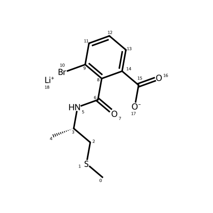 CSC[C@H](C)NC(=O)c1c(Br)cccc1C(=O)[O-].[Li+]